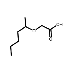 CCCCC(C)OCC(=O)O